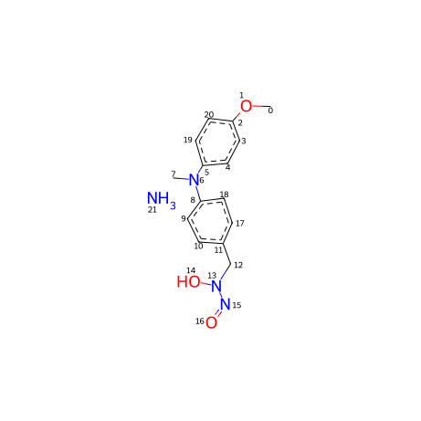 COc1ccc(N(C)c2ccc(CN(O)N=O)cc2)cc1.N